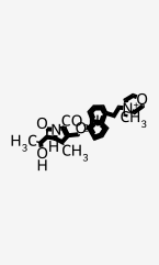 C[C@@H](O)[C@H]1C(=O)N2C(C(=O)O)=C(COc3cccc4c(CC[N+]5(C)CCOCC5)cccc34)[C@H](C)[C@H]12